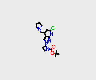 CC(C)(C)OC(=O)N1CCC1n1cc2c(CN3CCCC3)cc(Cl)nc2n1